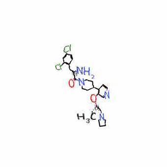 CC[C@@H](CN1CCCC1)Oc1cnccc1C1CCN(C(=O)[C@H](N)Cc2ccc(Cl)cc2Cl)CC1